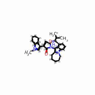 CC(C)C(N)c1cccc2c1c(N1C(=O)C=C(c3cn(C)c4ccccc34)C1=O)c1n2CCCCC1